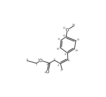 CCOC(=O)CC(C)=Cc1ccc(OC)cc1